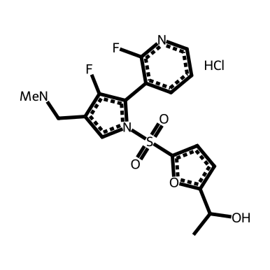 CNCc1cn(S(=O)(=O)c2ccc(C(C)O)o2)c(-c2cccnc2F)c1F.Cl